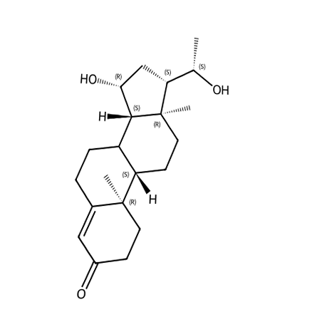 C[C@H](O)[C@H]1C[C@@H](O)[C@H]2C3CCC4=CC(=O)CC[C@]4(C)[C@H]3CC[C@]12C